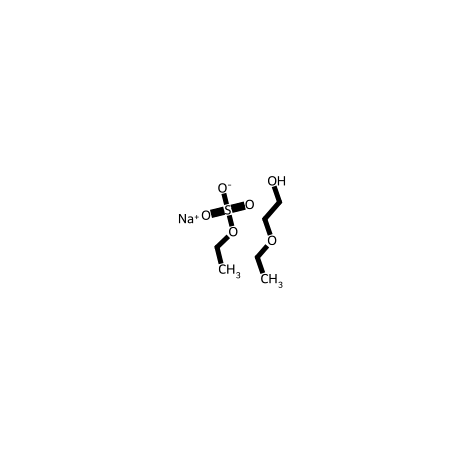 CCOCCO.CCOS(=O)(=O)[O-].[Na+]